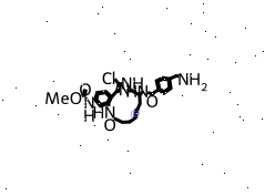 COC(=O)Nc1ccc2c(c1)NC(=O)CC/C=C/CC(NC(=O)c1ccc(CN)cc1)c1nc-2c(Cl)[nH]1